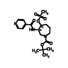 CC(C)(C)OC(=O)N1CCC[C@H](OS(C)(=O)=O)[C@H](NC(=O)c2ccncc2)C1